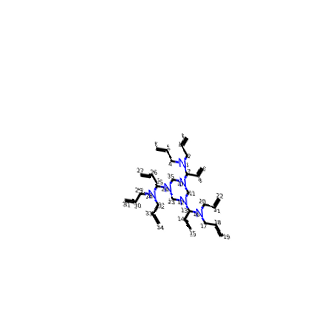 C=CCN(CC=C)C(C=C)N1CN(C(C=C)N(CC=C)CC=C)CN(C(C=C)N(CC=C)CC=C)C1